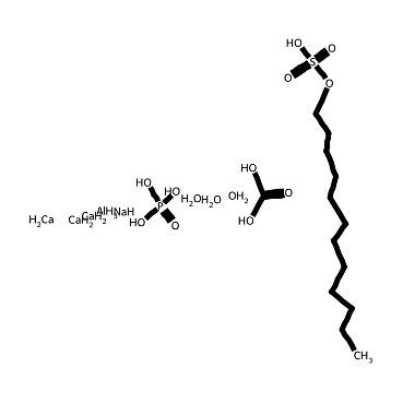 CCCCCCCCCCCCOS(=O)(=O)O.O.O.O.O=C(O)O.O=P(O)(O)O.[AlH3].[CaH2].[CaH2].[CaH2].[NaH]